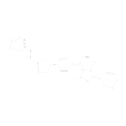 Cc1nn(-c2ccccc2)c2nc(C(=O)O)cc(-c3ccc(N4CCC(OCc5ccccc5)C4)cc3)c12